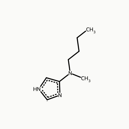 CCCCN(C)c1c[nH][c]n1